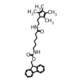 CC1=C(C)C(CCNC(=O)CCCCCNC(=O)OCC2c3ccccc3-c3ccccc32)C(C)=C1C